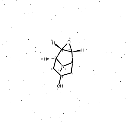 CN1C2CC(O)C[C@H]1[C@@H]1O[C@H]21